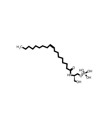 CCCCCCCC/C=C\CCCCCCCC(=O)N[C@H](CO)CO[PH](O)(O)O